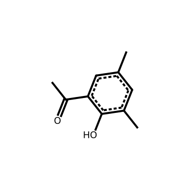 CC(=O)c1cc(C)cc(C)c1O